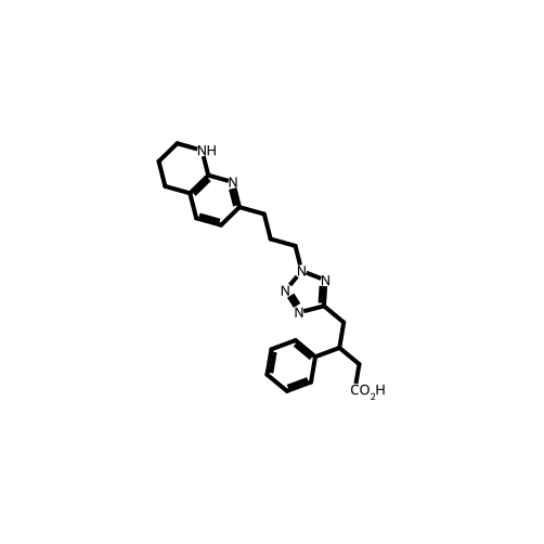 O=C(O)CC(Cc1nnn(CCCc2ccc3c(n2)NCCC3)n1)c1ccccc1